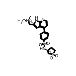 CN(C)Cc1cc2c(-c3ccc(S(=O)(=O)N[C@H]4CCS(=O)(=O)C4)cc3)ccnc2[nH]1